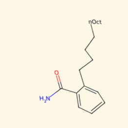 CCCCCCCCCCCCc1ccccc1C(N)=O